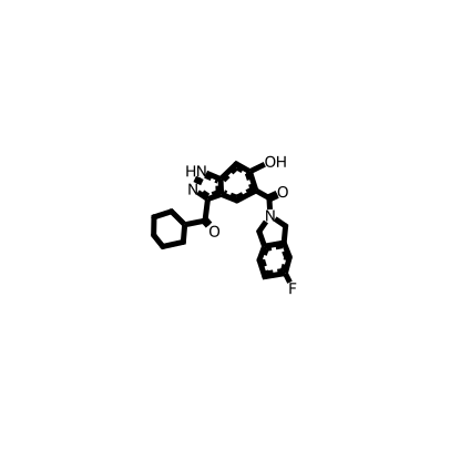 O=C(c1n[nH]c2cc(O)c(C(=O)N3Cc4ccc(F)cc4C3)cc12)C1CCCCC1